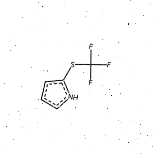 FC(F)(F)Sc1ccc[nH]1